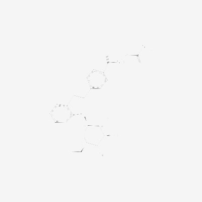 NC(=O)CNC(=O)c1ccc(CCc2ccccc2O[C@@H]2O[C@H](CO)[C@@H](O)[C@H](O)[C@H]2O)cc1